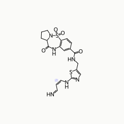 N=C/C=C\Nc1ncc(CNC(=O)c2ccc3c(c2)NC(=O)C2CCCN2S3(=O)=O)s1